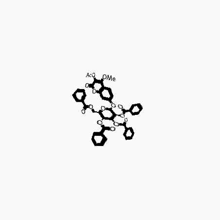 COc1c(OC(C)=O)c(=O)oc2cc(O[C@H]3O[C@H](COC(=O)c4ccccc4)[C@@H](OC(=O)c4ccccc4)[C@H](OC(=O)c4ccccc4)[C@@H]3OC(=O)c3ccccc3)ccc12